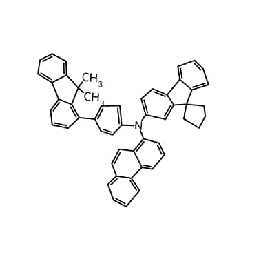 CC1(C)c2ccccc2-c2cccc(-c3ccc(N(c4ccc5c(c4)C4(CCCC4)c4ccccc4-5)c4cccc5c4ccc4ccccc45)cc3)c21